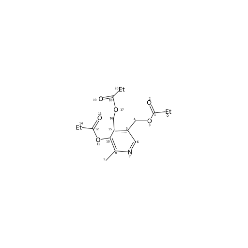 CCC(=O)OCc1cnc(C)c(OC(=O)CC)c1COC(=O)CC